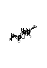 Cc1c(OCCCBr)cccc1-c1ccnc(COc2cc(OCc3cncc(C#N)c3)c(C=O)cc2Cl)c1C